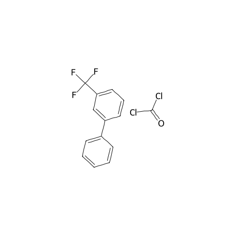 FC(F)(F)c1cccc(-c2ccccc2)c1.O=C(Cl)Cl